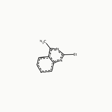 CCc1nc(C)c2ccccc2n1